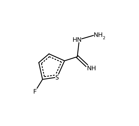 N=C(NN)c1ccc(F)s1